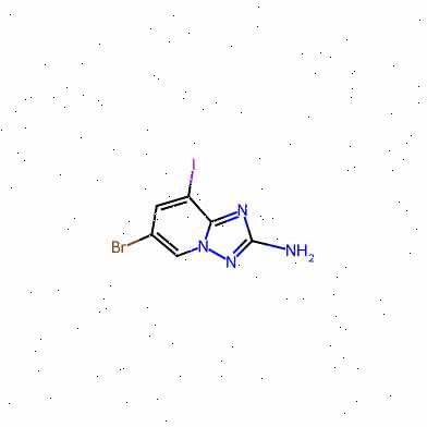 Nc1nc2c(I)cc(Br)cn2n1